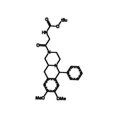 COc1cc2c(cc1OC)C(c1ccccc1)N1CCN(C(=O)CNC(=O)OC(C)(C)C)CC1C2